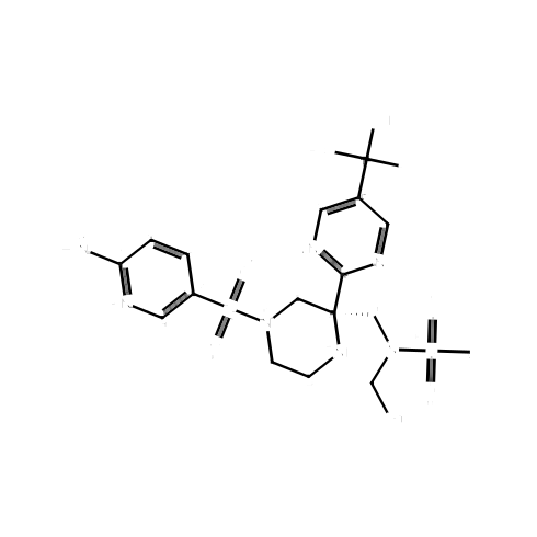 CC(C)CN(C[C@@]1(c2ncc(C(O)(C(F)(F)F)C(F)(F)F)cn2)CN(S(=O)(=O)c2ccc(N)nc2)CCN1)S(C)(=O)=O